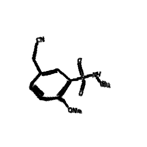 COc1ccc(CC#N)cc1S(=O)(=O)NC(C)(C)C